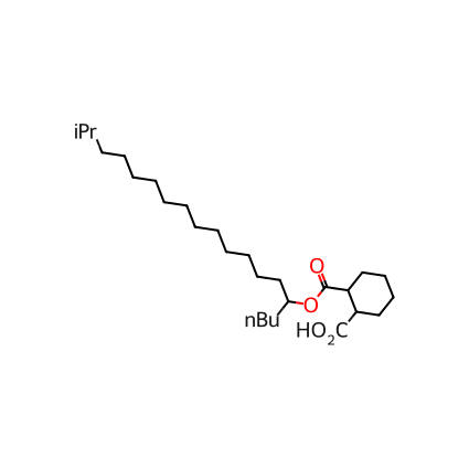 CCCCC(CCCCCCCCCCCCC(C)C)OC(=O)C1CCCCC1C(=O)O